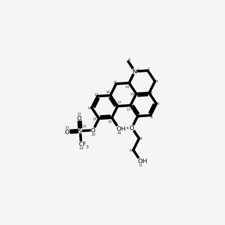 CN1CCc2ccc(OCCO)c3c2C1Cc1ccc(OS(=O)(=O)C(F)(F)F)c(O)c1-3